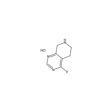 Cl.Fc1ncnc2c1CCNC2